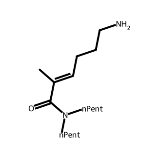 CCCCCN(CCCCC)C(=O)C(C)=CCCCN